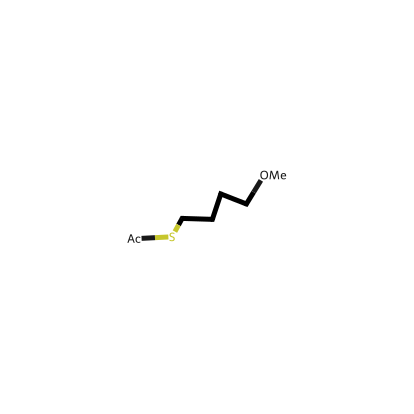 COCCCCSC(C)=O